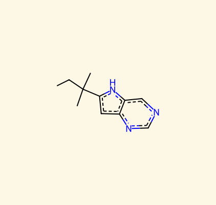 CCC(C)(C)c1cc2ncncc2[nH]1